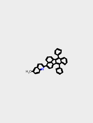 Cc1ccc2nc(-c3ccc4c5c(cccc35)-c3c-4c(-c4ccccc4)c4ccccc4c3-c3ccccc3)ccc2c1